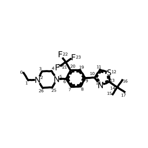 CCN1CCN(c2ccc(-c3csc(C(C)(C)C)n3)cc2C(F)(F)F)CC1